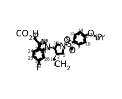 C=C[C@@H]1CN(S(=O)(=O)c2ccc(OC(C)C)cc2)C[C@@H]1n1nc(CC(=O)O)c2ccc(F)cc21